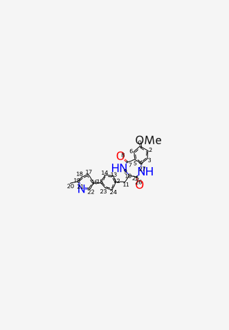 COc1ccc2c(c1)C(=O)NC(Cc1ccc(-c3ccc(C)nc3)cc1)C(=O)N2